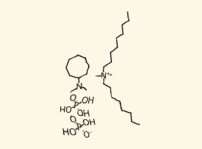 CCCCCCCCC[N+](C)(C)CCCCCCCC.CN(C)C1CCCCCCC1.O=P(O)(O)O.O=P([O-])(O)O